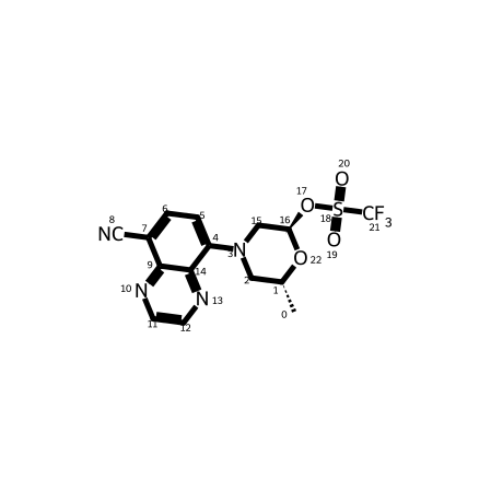 C[C@@H]1CN(c2ccc(C#N)c3nccnc23)C[C@@H](OS(=O)(=O)C(F)(F)F)O1